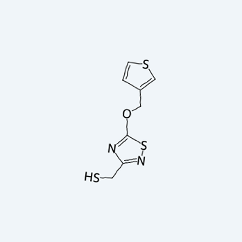 SCc1nsc(OCc2ccsc2)n1